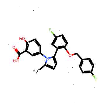 Cc1ccc(-c2cc(F)ccc2OCc2ccc(F)cc2)n1-c1ccc(O)c(C(=O)O)c1